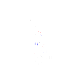 Cc1cccc2c1NC(=O)C(NC(=O)c1cc(Cc3ccccc3)on1)CO2